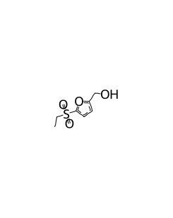 CCS(=O)(=O)c1ccc(CO)o1